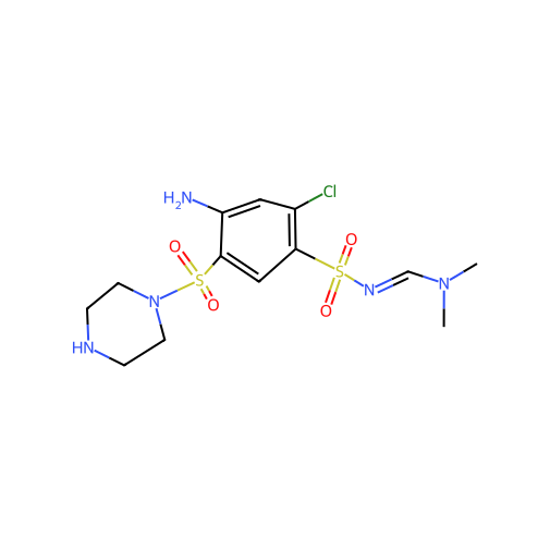 CN(C)/C=N/S(=O)(=O)c1cc(S(=O)(=O)N2CCNCC2)c(N)cc1Cl